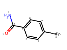 CC[CH]c1ccc(C(N)=O)cc1